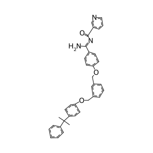 CC(C)(c1ccccc1)c1ccc(OCc2cccc(COc3ccc(/C(N)=N/C(=O)c4cccnc4)cc3)c2)cc1